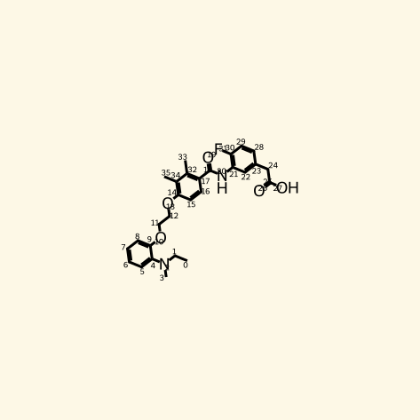 CCN(C)c1ccccc1OCCOc1ccc(C(=O)Nc2cc(CC(=O)O)ccc2F)c(C)c1C